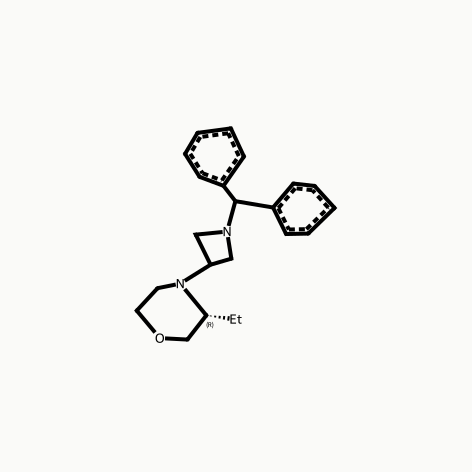 [CH2]C[C@@H]1COCCN1C1CN(C(c2ccccc2)c2ccccc2)C1